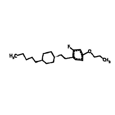 CCCCC[C@H]1CC[C@H](CCc2ccc(OCCC)cc2F)CC1